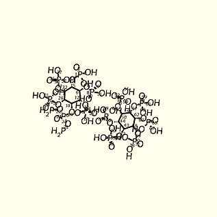 O=P(O)(O)O[C@@H]1[C@@H](OP(=O)(O)O)[C@H](OP(=O)(O)O)[C@@H](OP(=O)(OP)OP)[C@@H](OP(=O)(O)O)[C@H]1OP(=O)(O)O.O=P(O)(O)O[C@H]1[C@H](OP(=O)(O)O)[C@@H](OP(=O)(O)O)[C@H](OP(=O)(O)O)[C@@H](OP(=O)(O)O)[C@H]1OP(=O)(O)O